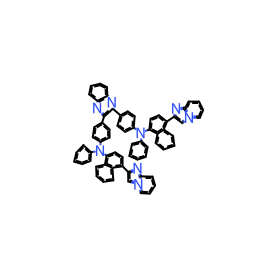 c1ccc(N(c2ccc(-c3nc4ccccc4nc3-c3ccc(N(c4ccccc4)c4ccc(-c5cn6ccccc6n5)c5ccccc45)cc3)cc2)c2ccc(-c3cn4ccccc4n3)c3ccccc23)cc1